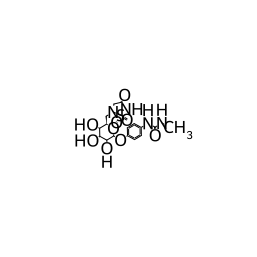 CNC(=O)Nc1ccc(OC2O[C@H](CN3CC(=O)NS3(=O)=O)[C@@H](O)[C@H](O)[C@@H]2O)cc1